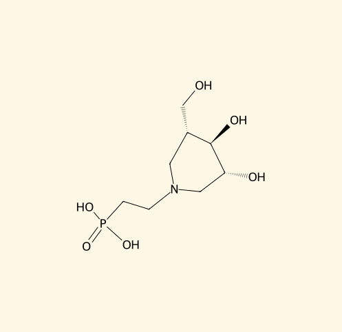 O=P(O)(O)CCN1C[C@H](CO)[C@@H](O)[C@H](O)C1